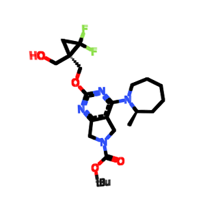 C[C@@H]1CCCCCN1c1nc(OC[C@]2(CO)CC2(F)F)nc2c1CN(C(=O)OC(C)(C)C)C2